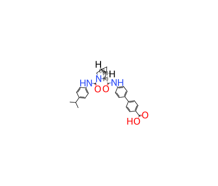 CC(C)c1ccc(NC(=O)N2C[C@H]3C[C@H]3[C@@H]2C(=O)Nc2ccc(-c3ccc(C(=O)O)cc3)cc2)cc1